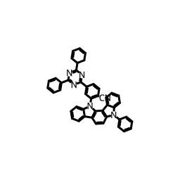 N#Cc1ccc(-c2nc(-c3ccccc3)nc(C3C=CC=CC3)n2)cc1-n1c2ccccc2c2ccc3c(c4ccccc4n3-c3ccccc3)c21